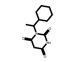 CC(C1CCCCC1)N1C(=O)CC(=O)NC1=O